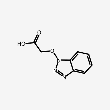 O=C(O)COn1nnc2ccccc21